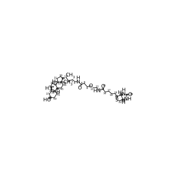 CC(CCCNC(=O)CCOCCNC(=O)CCCC[C@@H]1SC[C@@H]2NC(=O)N[C@@H]21)[C@H]1CC[C@H]2C3CC=C4C[C@@H](O)CC[C@]4(C)[C@H]3CC[C@]12C